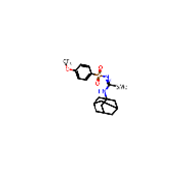 CS/C(=N/S(=O)(=O)c1ccc(OC(F)(F)F)cc1)NC12CC3CC(CC(C3)C1)C2